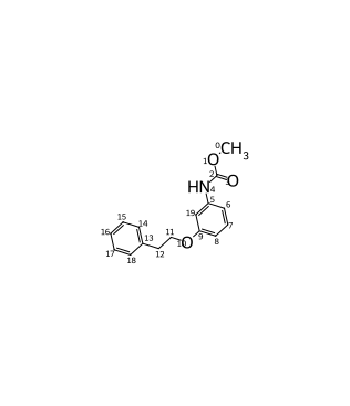 COC(=O)Nc1cccc(OCCc2ccccc2)c1